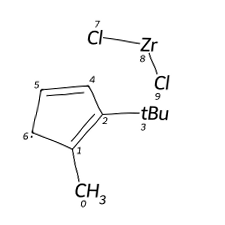 CC1=C(C(C)(C)C)C=C[CH]1.[Cl][Zr][Cl]